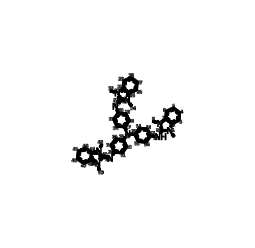 CN1c2ccccc2N(C)C1Nc1ccc(N(c2ccc(N=c3n(C)c4ccccc4n3C)cc2)c2ccc(N=c3n(C)c4ccccc4n3C)cc2)cc1